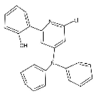 Oc1ccccc1-c1cc(N(c2ccccc2)c2ccccc2)cc(Cl)n1